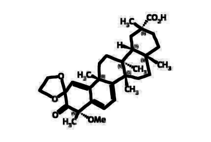 CO[C@]1(C)C(=O)C2(C=C3C1=CC=C1[C@@]3(C)CC[C@@]3(C)[C@@H]4C[C@](C)(C(=O)O)CC[C@]4(C)CC[C@]13C)OCCO2